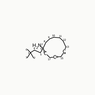 CC(C)(C)CCC1(N)CCCCCCCCCCC1